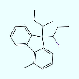 CCC(C)C1(C(I)CC)c2ccccc2-c2c(C)cccc21